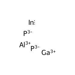 [Al+3].[Ga+3].[In].[P-3].[P-3]